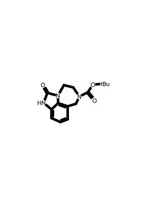 CC(C)(C)OC(=O)N1CCn2c(=O)[nH]c3cccc(c32)C1